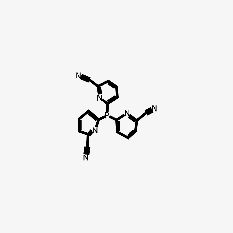 N#Cc1cccc(P(c2cccc(C#N)n2)c2cccc(C#N)n2)n1